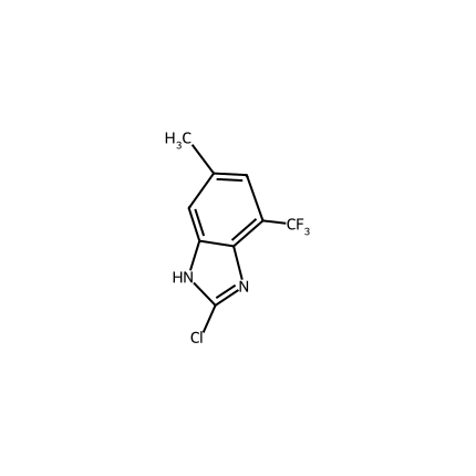 Cc1cc(C(F)(F)F)c2nc(Cl)[nH]c2c1